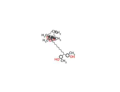 CCCC[Si](C)(C)O[Si](C)(C)O[Si](C)(CCCCCCCCCCC(c1ccc(O)c(C)c1)c1ccc(O)c(C)c1)O[Si](C)(C)CCCC